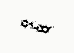 S=C(Nc1nc2ccc(Cl)cc2s1)n1ccnc1